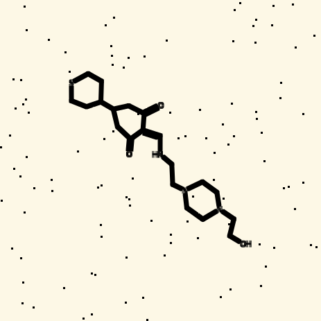 O=C1CC(C2CCSCC2)CC(=O)C1=CNCCN1CCN(CCO)CC1